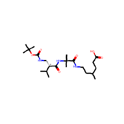 CC(CCNC(=O)C(C)(C)NC(=O)[C@@H](CNC(=O)OC(C)(C)C)C(C)C)CCC(=O)O